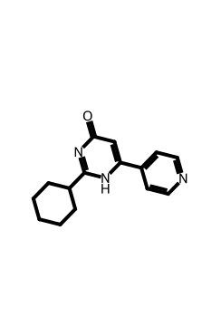 O=c1cc(-c2ccncc2)[nH]c(C2CCCCC2)n1